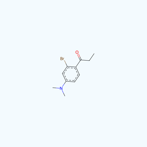 CCC(=O)c1ccc(N(C)C)cc1Br